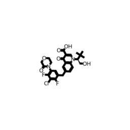 CC(C)(C)[C@@H](CO)n1cc(C(=O)O)c(=O)c2cc(Cc3cc(N4CCOCC4=O)c(F)c(Cl)c3F)ccc21